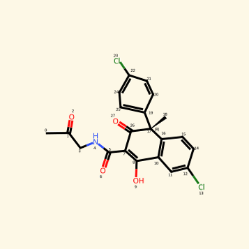 CC(=O)CNC(=O)C1=C(O)c2cc(Cl)ccc2[C@@](C)(c2ccc(Cl)cc2)C1=O